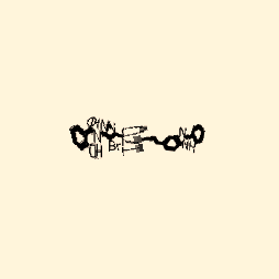 O=C(Nc1[nH]nc(C(=O)NCCc2ccc3[nH]c(-c4ccccc4)nc3c2)c1Br)c1ccccc1Cl